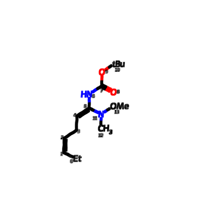 CC/C=C\C/C=C(/NC(=O)OC(C)(C)C)N(C)OC